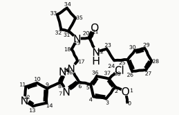 COc1ccc(-c2nc(-c3ccncc3)nn2CCN(C(=O)NCCc2ccccc2)C2CCCC2)cc1Cl